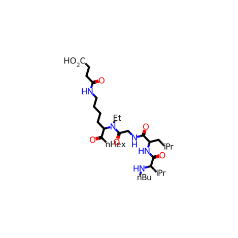 CCCCCCC(=O)C(CCCCNC(=O)CCC(=O)O)N(CC)C(=O)CNC(=O)C(CC(C)C)NC(=O)C(NCCCC)C(C)C